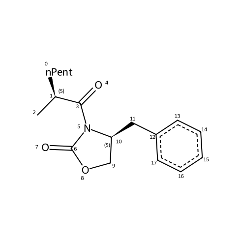 CCCCC[C@H](C)C(=O)N1C(=O)OC[C@@H]1Cc1ccccc1